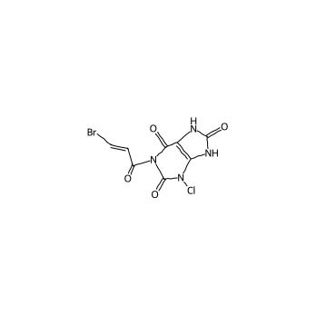 O=C(C=CBr)n1c(=O)c2[nH]c(=O)[nH]c2n(Cl)c1=O